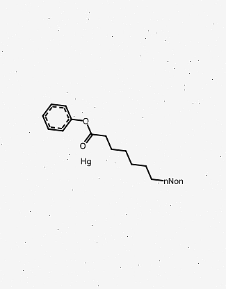 CCCCCCCCCCCCCCCC(=O)Oc1ccccc1.[Hg]